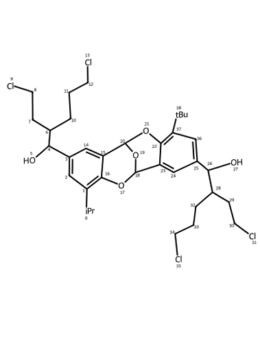 CC(C)c1cc(C(O)C(CCCl)CCCCl)cc2c1OC1OC2Oc2c1cc(C(O)C(CCCl)CCCCl)cc2C(C)(C)C